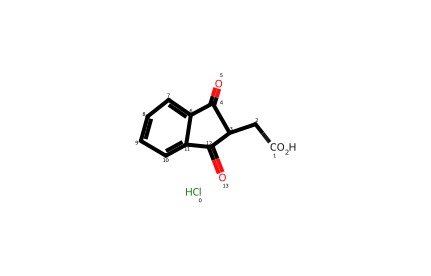 Cl.O=C(O)CC1C(=O)c2ccccc2C1=O